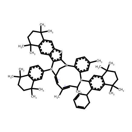 CC1=C\C(C)N(c2cc3c(cc2C2C=CC=CC2)C(C)(C)CCC3(C)C)c2cc(C)ccc2B2C/C(=C\1)N(c1ccc3c(c1)C(C)(C)CCC3(C)C)c1c2sc2cc3c(cc12)C(C)(C)CCC3(C)C